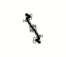 O=C(NCCCCNC(=O)NCCOCCOCCNS(=O)(=O)c1ccc(O[C@H]2c3cc(Cl)cc(Cl)c3C[C@@H]2N2CCCCC2)cc1)NCCOCCOCCNS(=O)(=O)c1ccc(O[C@H]2c3cc(Cl)cc(Cl)c3C[C@@H]2N2CCCCC2)cc1